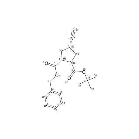 [C-]#[N+][C@H]1C[C@@H](C(=O)OCc2ccccc2)N(C(=O)OC(C)(C)C)C1